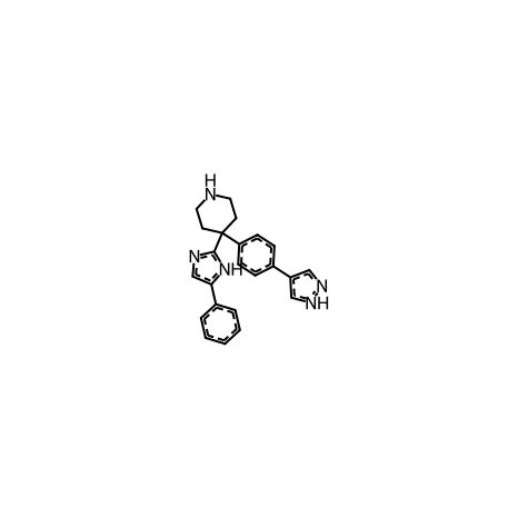 c1ccc(-c2cnc(C3(c4ccc(-c5cn[nH]c5)cc4)CCNCC3)[nH]2)cc1